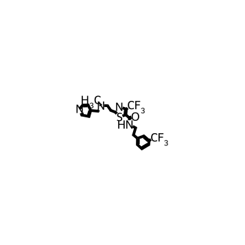 CN(CCc1nc(C(F)(F)F)c(C(=O)NCCc2cccc(C(F)(F)F)c2)s1)Cc1ccncc1